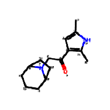 Cc1cc(C(=O)CN2C3CCCC2CC3)c(C)[nH]1